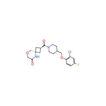 O=C1COC[C@]2(C[C@H](C(=O)N3CCC(COc4ccc(F)cc4Cl)CC3)C2)N1